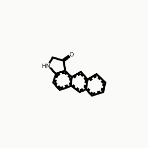 O=C1CNc2ccc3cc4ccccc4cc3c21